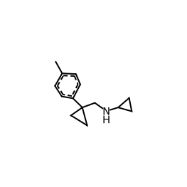 Cc1ccc(C2(CNC3CC3)CC2)cc1